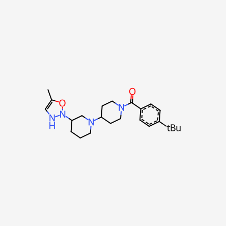 CC1=CNN(C2CCCN(C3CCN(C(=O)c4ccc(C(C)(C)C)cc4)CC3)C2)O1